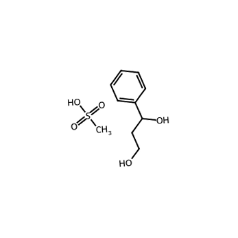 CS(=O)(=O)O.OCCC(O)c1ccccc1